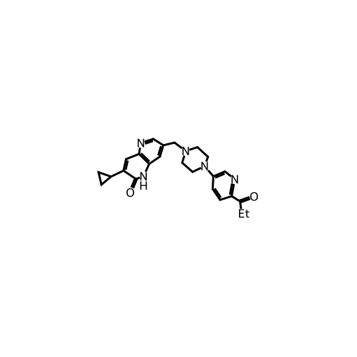 CCC(=O)c1ccc(N2CCN(Cc3cnc4cc(C5CC5)c(=O)[nH]c4c3)CC2)cn1